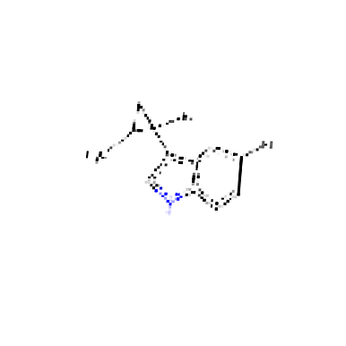 CCc1ccc2[nH]cc(C3(CC)CC3C)c2c1